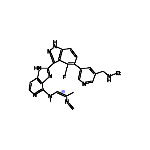 C=N/C(C)=C\N(C)c1nccc2[nH]c(-c3n[nH]c4ccc(-c5cncc(CNCC)c5)c(F)c34)nc12